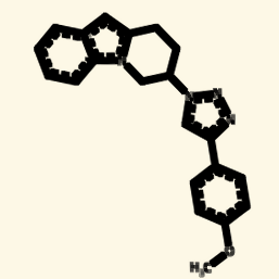 COc1ccc(-c2cn(C3CCc4[c]c5ccccc5n4C3)nn2)cc1